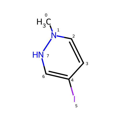 CN1C=CC(I)=CN1